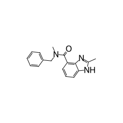 Cc1nc2c(C(=O)N(C)Cc3ccccc3)cccc2[nH]1